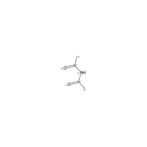 CC(=O)NC(C)=O